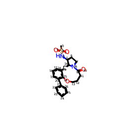 CS(=O)(=O)NC1CCN2C(=O)CCCOc3c(cccc3-c3ccccc3)CC12